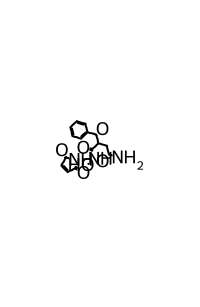 NC(=O)CC(C(=O)NO)C(=O)c1ccccc1.O=C1C=CC(=O)N1